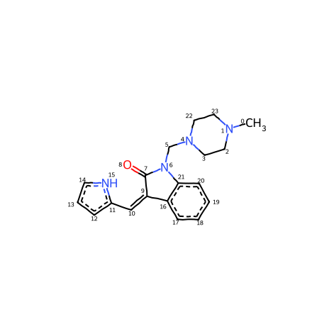 CN1CCN(CN2C(=O)/C(=C\c3ccc[nH]3)c3ccccc32)CC1